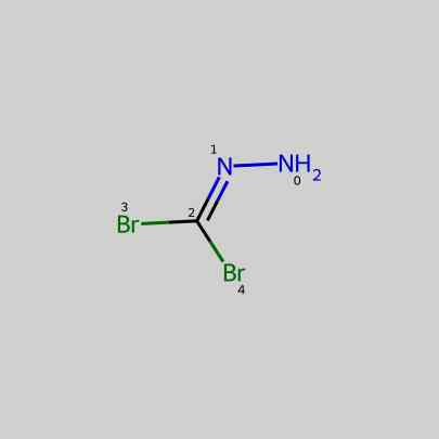 NN=C(Br)Br